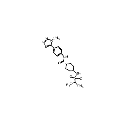 CC(C)S(=O)(=O)N[C@H]1CC[C@H](C(=O)Nc2ccc(-c3nnnn3C)cc2)CC1